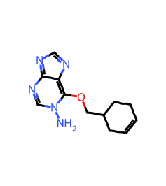 Nn1cnc2ncnc-2c1OCC1CC=CCC1